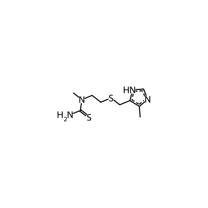 Cc1nc[nH]c1CSCCN(C)C(N)=S